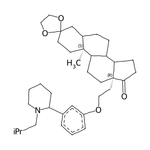 CC(C)CN1CCCCC1c1cccc(OCC[C@]23CCC4C(CCC5CC6(CC[C@@]54C)OCCO6)C2CCC3=O)c1